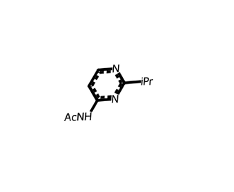 CC(=O)Nc1ccnc(C(C)C)n1